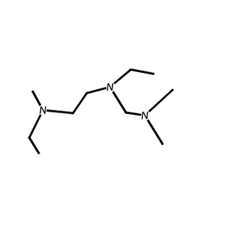 CCN(C)CCN(CC)CN(C)C